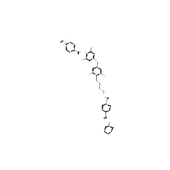 COC(=O)c1ccc(C(=O)Oc2c(C)cc(Cc3cc(C)c(CCCCOC(=O)c4ccc(C(=O)Oc5ccccc5)cc4)c(C)c3)cc2C)cc1